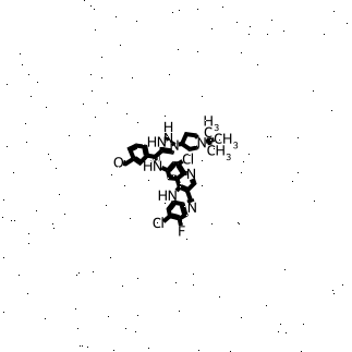 CC(C)(C)N1CCC(N2C=C([C@@H](Nc3cc(Cl)c4ncc(C#N)c(Nc5ccc(F)c(Cl)c5)c4c3)c3cccc(C=O)c3)NN2)CC1